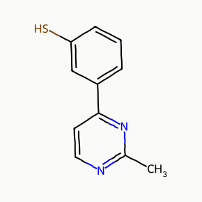 Cc1nccc(-c2cccc(S)c2)n1